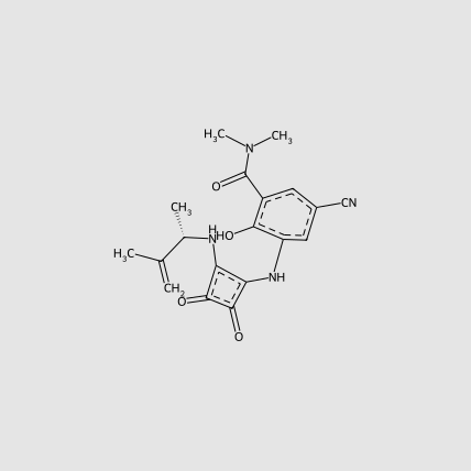 C=C(C)[C@H](C)Nc1c(Nc2cc(C#N)cc(C(=O)N(C)C)c2O)c(=O)c1=O